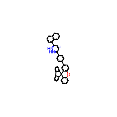 N=C(/C=C\C(=N)c1cccc2ccccc12)c1ccc(-c2ccc3c(c2)C2(c4ccccc4O3)c3ccccc3-c3ccccc32)cc1